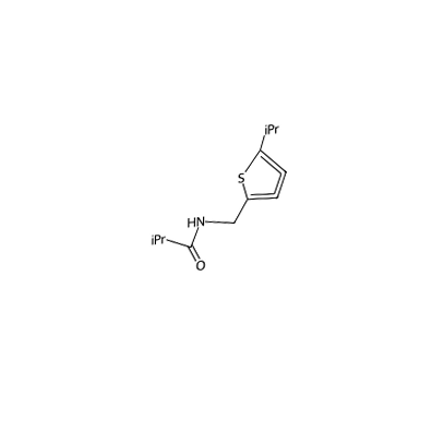 CC(C)C(=O)NCC1=C=C=C(C(C)C)S1